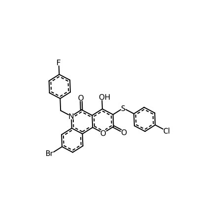 O=c1oc2c(c(O)c1Sc1ccc(Cl)cc1)c(=O)n(Cc1ccc(F)cc1)c1cc(Br)ccc21